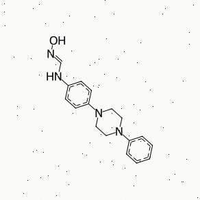 O/N=C/Nc1ccc(N2CCN(c3ccccc3)CC2)cc1